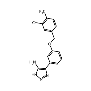 Nc1[nH]nnc1-c1cccc(OCc2ccc(C(F)(F)F)c(Cl)c2)c1